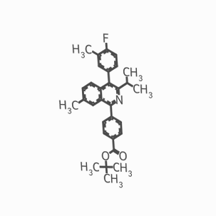 Cc1ccc2c(-c3ccc(F)c(C)c3)c(C(C)C)nc(-c3ccc(C(=O)OC(C)(C)C)cc3)c2c1